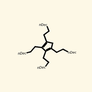 CCCCCCCCCCCCC1=C(CCCCCCCCCCCC)C(CCCCCCCCCCCC)=C(CCCCCCCCCCCC)C1